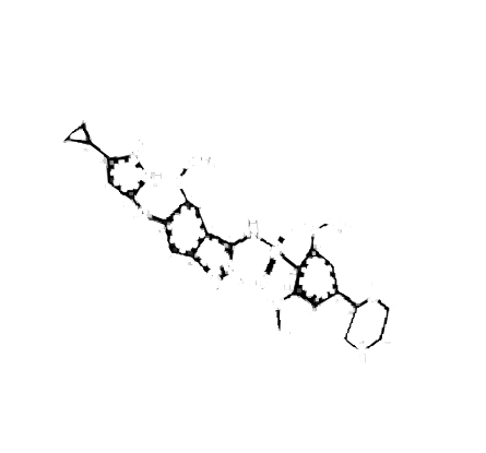 COc1cc2c(NS(=O)(=O)c3c(OC)cc(C4CNCCO4)cc3OC)noc2cc1Nc1cc(C2CC2)n[nH]1